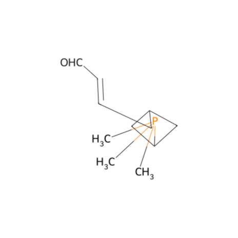 CP1(C)(C)C2CC(C2)C1C=CC=O